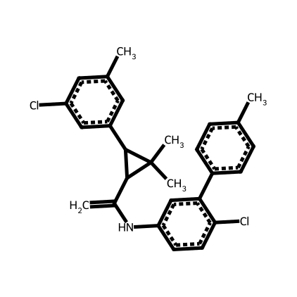 C=C(Nc1ccc(Cl)c(-c2ccc(C)cc2)c1)C1C(c2cc(C)cc(Cl)c2)C1(C)C